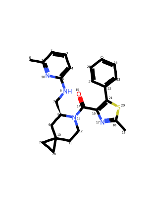 Cc1cccc(NC[C@@H]2CC3(CCN2C(=O)c2nc(C)sc2-c2ccccc2)CC3)n1